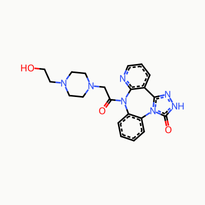 O=C(CN1CCN(CCO)CC1)N1c2ccccc2-n2c(n[nH]c2=O)-c2cccnc21